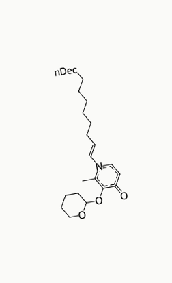 CCCCCCCCCCCCCCCCC=Cn1ccc(=O)c(OC2CCCCO2)c1C